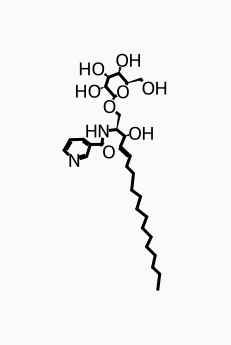 CCCCCCCCCCCCC/C=C/[C@@H](O)[C@H](CO[C@@H]1O[C@H](CO)[C@H](O)[C@H](O)[C@H]1O)NC(=O)c1cccnc1